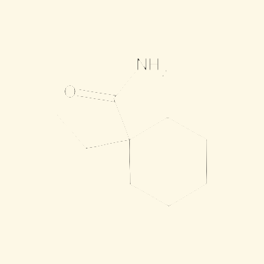 CCC1(C(N)=O)CCCCC1